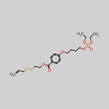 C=CCSSCCOC(=O)c1ccc(OCCCCOP(=O)(OCC)OCC)cc1